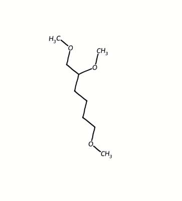 COCCCCC(COC)OC